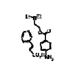 CCN(CC)CCOC(=O)c1ccc(N)cc1.O=C(O)C=Cc1ccccc1